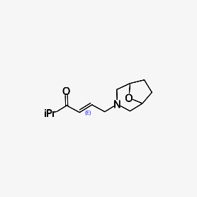 CC(C)C(=O)/C=C/CN1CC2CCC(C1)O2